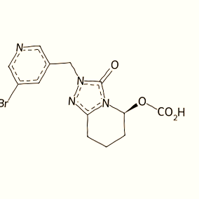 O=C(O)O[C@H]1CCCc2nn(Cc3cncc(Br)c3)c(=O)n21